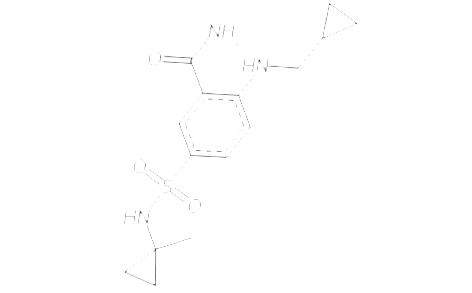 CC1(NS(=O)(=O)c2ccc(NCC3CC3)c(C(N)=O)c2)CC1